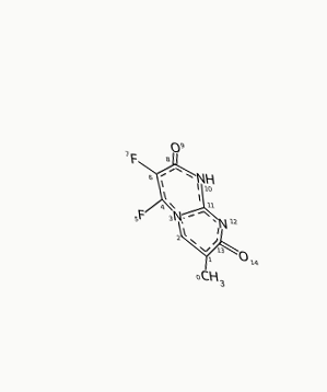 Cc1cn2c(F)c(F)c(=O)[nH]c2nc1=O